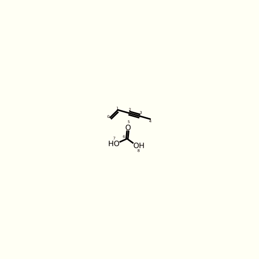 C=CC#CC.O=C(O)O